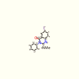 CNc1nc2ccc(I)cc2c(=O)n1-c1ccccc1